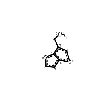 CCc1csc2ccsc12